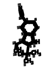 CC(C)(C)c1[nH]c2ccc(C#N)cc2c1C=O